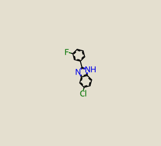 Fc1cccc(-c2nc3cc(Cl)ccc3[nH]2)c1